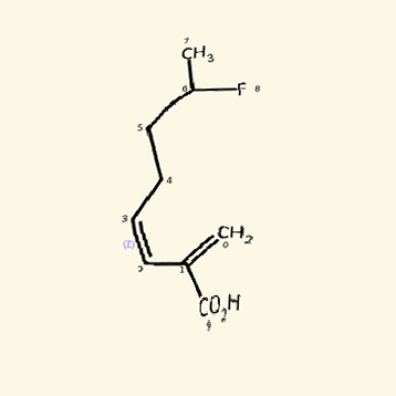 C=C(/C=C\CCC(C)F)C(=O)O